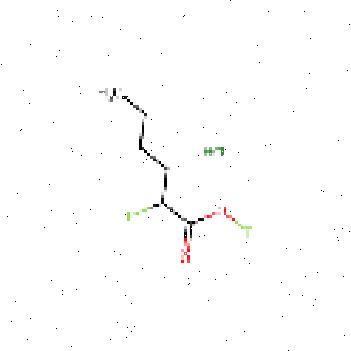 CCCCC(F)C(=O)OF.Cl